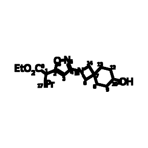 CCOC(=O)C(c1cc(N2CC3(CCC(O)CC3)C2)no1)C(C)C